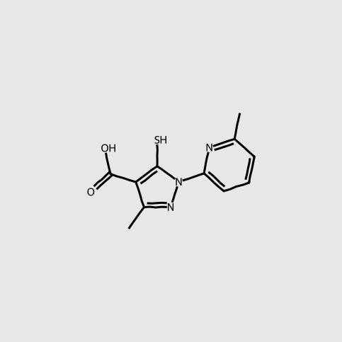 Cc1cccc(-n2nc(C)c(C(=O)O)c2S)n1